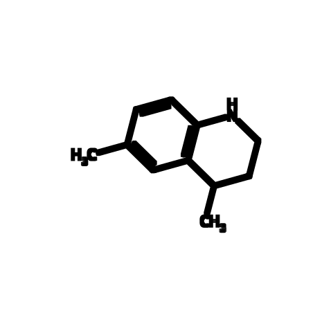 Cc1ccc2c(c1)C(C)CCN2